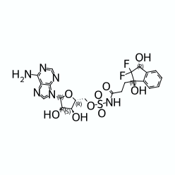 Nc1ncnc2c1ncn2[C@@H]1O[C@H](COS(=O)(=O)NC(=O)CC[C@@]2(O)c3ccccc3[C@@H](O)C2(F)F)[C@@H](O)[C@H]1O